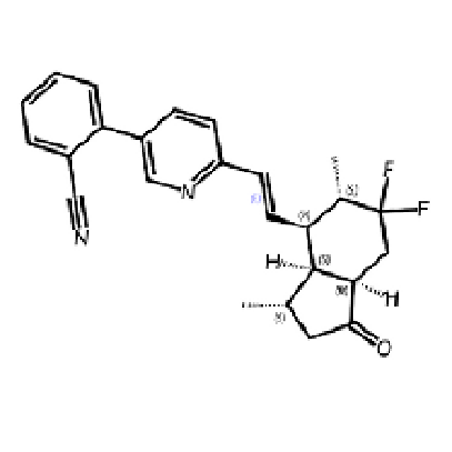 C[C@H]1CC(=O)[C@@H]2CC(F)(F)[C@@H](C)[C@H](/C=C/c3ccc(-c4ccccc4C#N)cn3)[C@H]12